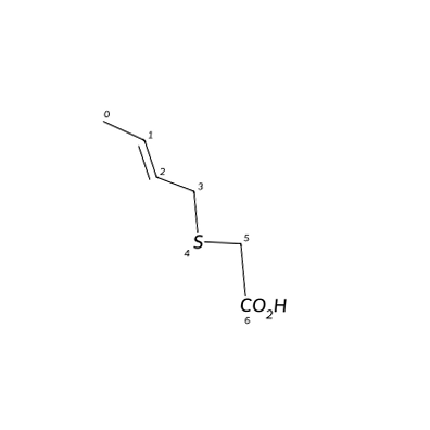 C/C=C/CSCC(=O)O